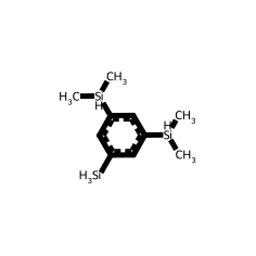 C[SiH](C)c1cc([SiH3])cc([SiH](C)C)c1